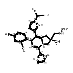 CCCNC[C@@]1(O)CC2=C(c3ccn(C(F)F)n3)[C@H](c3ccc(F)cc3Cl)N=C(c3nccs3)N2C1